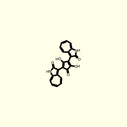 O=C1C(O)=C(c2c3cccccc-3[nH]c2=O)C(O)=C1c1c2cccccc-2[nH]c1=O